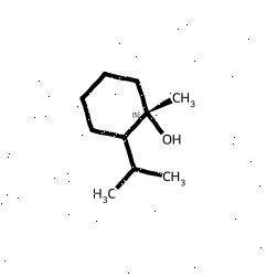 CC(C)C1CCCC[C@]1(C)O